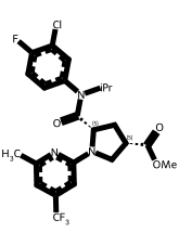 COC(=O)[C@H]1C[C@@H](C(=O)N(c2ccc(F)c(Cl)c2)C(C)C)N(c2cc(C(F)(F)F)cc(C)n2)C1